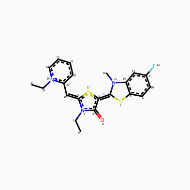 CCn1c(=O)/c(=C2\Sc3ccc(F)cc3N2C)s/c1=C\c1cccc[n+]1CC